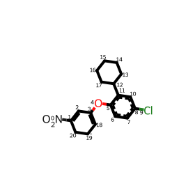 O=[N+]([O-])C1=CC(Oc2ccc(Cl)cc2C2CCCCC2)=C[CH]C1